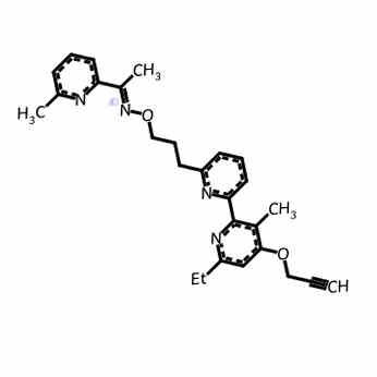 C#CCOc1cc(CC)nc(-c2cccc(CCCO/N=C(\C)c3cccc(C)n3)n2)c1C